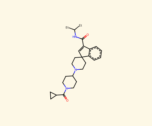 CCC(CC)NC(=O)C1=CC2(CCN(C3CCN(C(=O)C4CC4)CC3)CC2)c2ccccc21